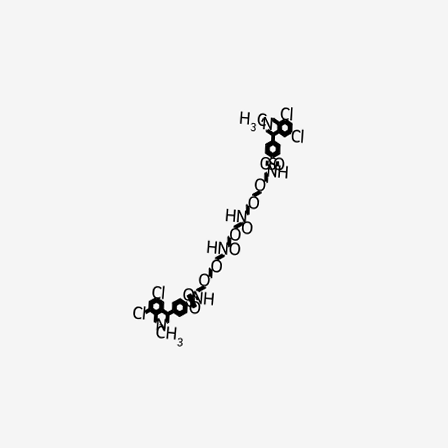 CN1Cc2c(Cl)cc(Cl)cc2C(c2ccc(S(=O)(=O)NCCOCCOCCNC(=O)COCC(=O)NCCOCCOCCNS(=O)(=O)c3ccc(C4CN(C)Cc5c(Cl)cc(Cl)cc54)cc3)cc2)C1